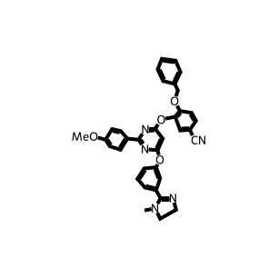 COc1ccc(-c2nc(Oc3cccc(C4=NCCN4C)c3)cc(Oc3cc(C#N)ccc3OCc3ccccc3)n2)cc1